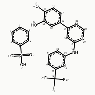 O=S(=O)(O)c1ccccc1.Oc1ccc(-c2cc(Nc3cccc(C(F)(F)F)n3)ncn2)cc1O